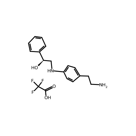 NCCc1ccc(NC[C@@H](O)c2ccccc2)cc1.O=C(O)C(F)(F)F